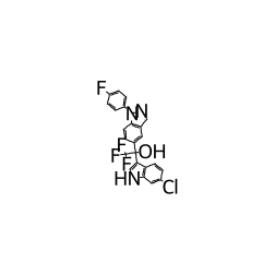 OC(c1ccc2c(cnn2-c2ccc(F)cc2)c1)(c1c[nH]c2cc(Cl)ccc12)C(F)(F)F